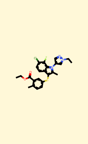 CCOC(=O)c1cc(Sc2c(C)n(-c3cnn(CC)c3)c3c(F)c(Cl)ccc23)ccc1C